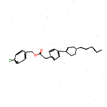 CCCCCC1CCC(c2ccc(CC(=O)OCc3ccc(Cl)cc3)cc2)CC1